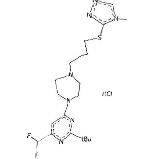 Cl.Cn1cnnc1SCCCN1CCN(c2cc(C(F)F)nc(C(C)(C)C)n2)CC1